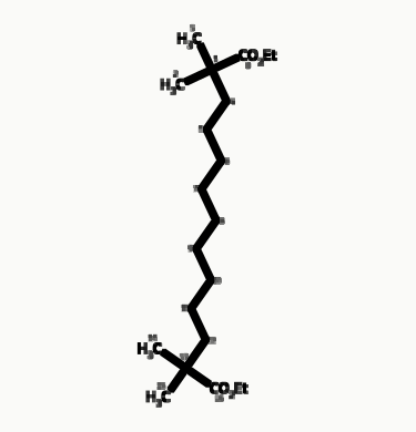 CCOC(=O)C(C)(C)CCCCCCCCCC(C)(C)C(=O)OCC